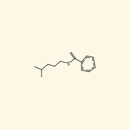 C=C(SCCCC(C)C)c1ccccc1